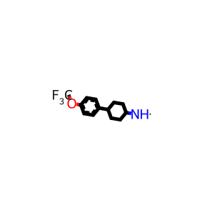 [NH]C1CCC(c2ccc(OC(F)(F)F)cc2)CC1